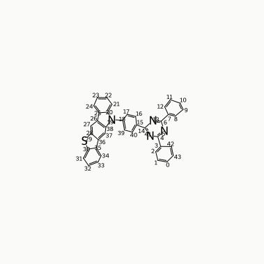 c1ccc(-c2nc(-c3ccccc3)nc(-c3ccc(-n4c5ccccc5c5cc6sc7ccccc7c6cc54)cc3)n2)cc1